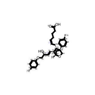 O=C(O)CCC/C=C\C[C@H]1[C@H](/C=C/[C@H](O)COc2ccc(F)cc2)[C@@H]2C[C@@]1(c1ccc(F)cc1)CO2